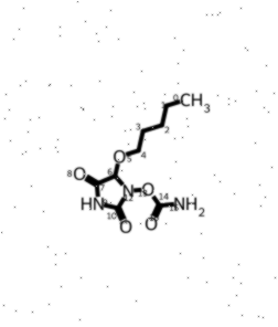 CCCCCOC1C(=O)NC(=O)N1OC(N)=O